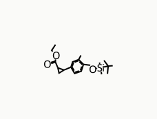 CCOC(=O)C1CC1c1ccc(CO[Si](C)(C)C(C)(C)C)c(C)c1